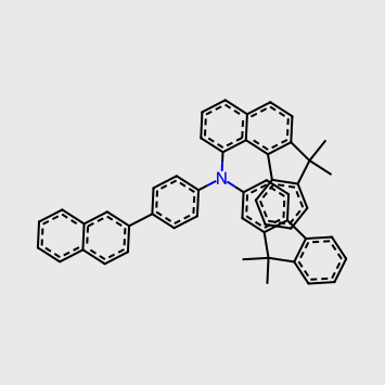 CC1(C)c2ccccc2-c2ccc(N(c3ccc(-c4ccc5ccccc5c4)cc3)c3cccc4ccc5c(c34)-c3ccccc3C5(C)C)cc21